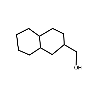 OCC1CC[C]2CCCCC2C1